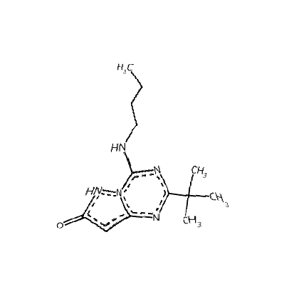 CCCCNc1nc(C(C)(C)C)nc2cc(=O)[nH]n12